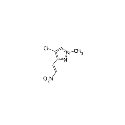 Cn1cc(Cl)c(/C=C/[N+](=O)[O-])n1